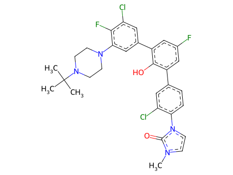 Cn1ccn(-c2ccc(-c3cc(F)cc(-c4cc(Cl)c(F)c(N5CCN(C(C)(C)C)CC5)c4)c3O)cc2Cl)c1=O